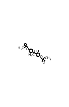 CCC1(COc2ccc(C(C)(C)c3ccc(OCC4(CC)COC4)cc3)cc2)CCC1